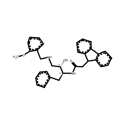 COc1ccccc1CNC[C@H](O)[C@H](Cc1ccccc1)NC(=O)CC1c2ccccc2-c2ccccc21